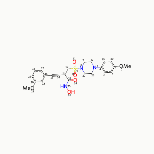 COc1ccc(N2CCN(S(=O)(=O)CC(C#Cc3cccc(OC)c3)C(=O)NO)CC2)cc1